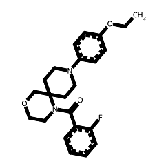 CCOc1ccc(N2CCC3(CC2)COCCN3C(=O)c2ccccc2F)cc1